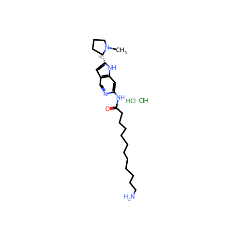 CN1CCC[C@H]1c1cc2cnc(NC(=O)CCCCCCCCCCCN)cc2[nH]1.Cl.Cl